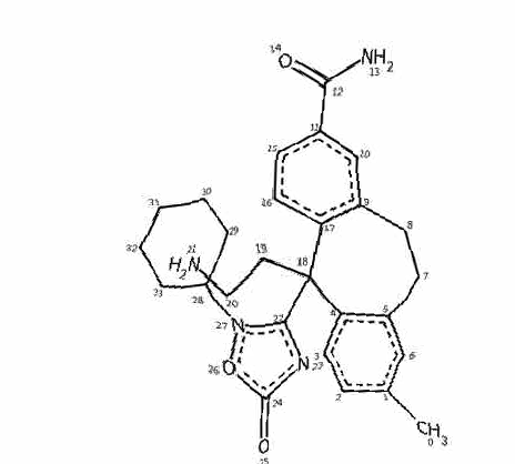 Cc1ccc2c(c1)CCc1cc(C(N)=O)ccc1C2(CCN)c1nc(=O)on1C1CCCCC1